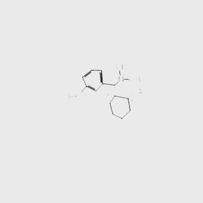 CC(=O)O[C@@H]1CCCC[C@@H]1C(c1cccc(O)c1)N(C)C